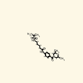 CC1CN(C(=O)c2ccc(NC(=O)CCCCNS(=O)(=O)C(C)C)cc2)CC(C)O1